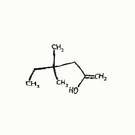 C=C(O)CC(C)(C)CC